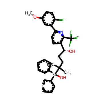 COc1ccc(F)c(-c2ccc([C@H](O)CCC(C)(C)[Si](O)(c3ccccc3)c3ccccc3)c(C(F)(F)F)n2)c1